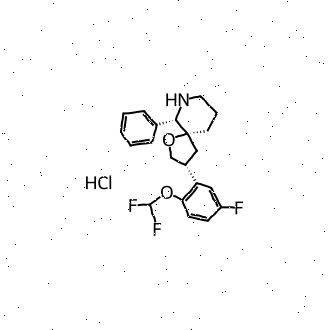 Cl.Fc1ccc(OC(F)F)c([C@@H]2CO[C@]3(CCCN[C@H]3c3ccccc3)C2)c1